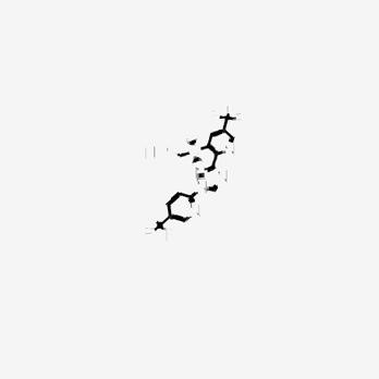 CCS(=O)(=O)c1cc(C(F)(F)F)cnc1-c1ncn(-c2ccc(C(F)(F)F)cn2)n1